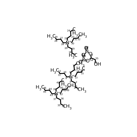 CCCC[N+](CCCC)(CCCC)CCCC.CCCC[N+](CCCC)(CCCC)CCCC.CCCC[N+](CCCC)(CCCC)CCCC.O=[PH]1OC(CO)O[PH](=O)O1